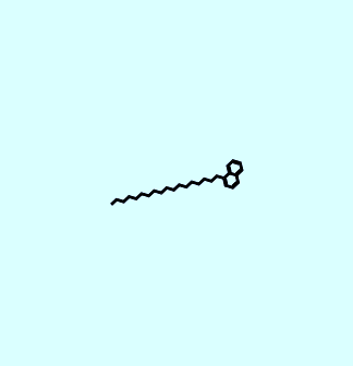 CCCCCCCCCCCCCCCCCCc1cccc2ccccc12